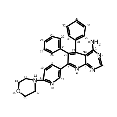 Nc1ncnc2nc(-c3ccc(N4CCOCC4)nc3)c(-c3ccccc3)c(-c3ccccc3)c12